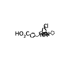 O=C(O)c1ccc(Cc2cc3cc(Cl)cc(NC4CCCC4)c3[nH]2)cc1